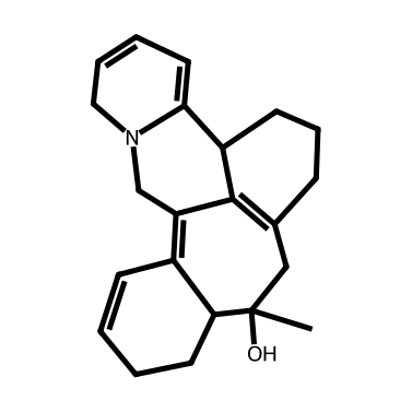 CC1(O)CC2=C3C(=C4C=CCCC41)CN1CC=CC=C1C3CCC2